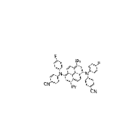 [C-]#[N+]c1ccc(N(c2ccc(F)cc2)c2cc(C(C)C)c3ccc4c(N(c5ccc(F)cc5)c5ccc(C#N)cc5)cc(C(C)C)c5ccc2c3c54)cc1